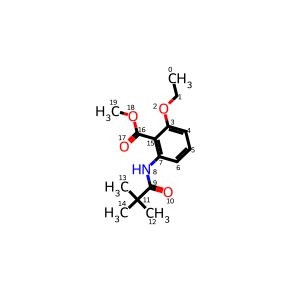 CCOc1cccc(NC(=O)C(C)(C)C)c1C(=O)OC